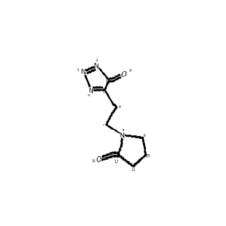 O=C1N=NN=C1CCN1CCCC1=O